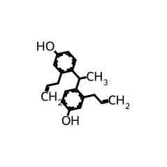 C=CCc1cc(O)ccc1C(C)c1ccc(O)cc1CC=C